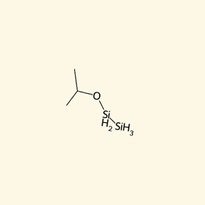 CC(C)O[SiH2][SiH3]